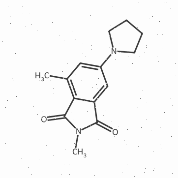 Cc1cc(N2CCCC2)cc2c1C(=O)N(C)C2=O